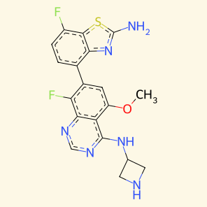 COc1cc(-c2ccc(F)c3sc(N)nc23)c(F)c2ncnc(NC3CNC3)c12